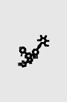 CCC(C)C(C)C(C)C(CC)CC#CC1CCC(O)(c2cc(N3CCOC[C@H]3C)nc3c2cnn3-c2cc[nH]n2)CC1